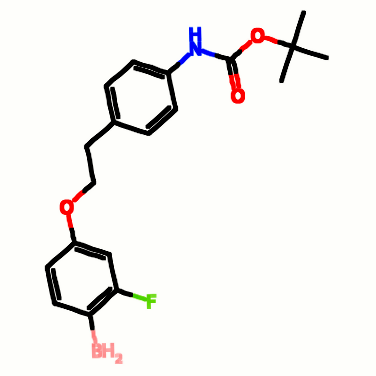 Bc1ccc(OCCc2ccc(NC(=O)OC(C)(C)C)cc2)cc1F